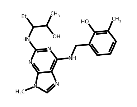 CCC(Nc1nc(NCc2cccc(C)c2O)c2ncn(C)c2n1)C(C)O